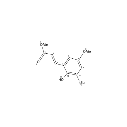 COC(=O)C=Cc1cc(OC)cc(C(C)(C)C)c1O